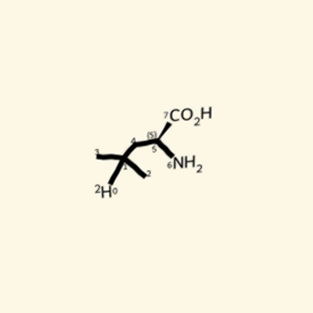 [2H]C(C)(C)C[C@H](N)C(=O)O